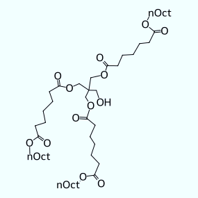 CCCCCCCCOC(=O)CCCCCC(=O)OCC(CO)(COC(=O)CCCCCC(=O)OCCCCCCCC)COC(=O)CCCCCC(=O)OCCCCCCCC